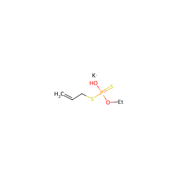 C=CCSP(O)(=S)OCC.[K]